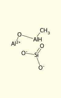 O=[Si]([O-])[O-].[CH3][AlH][O][Al+2]